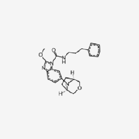 COc1nc2ccc(N3[C@@H]4CC[C@H]3COC4)cc2n1C(=O)NCCCc1ccccc1